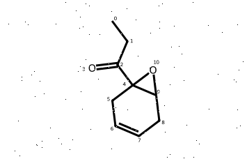 CCC(=O)C12CC=CCC1O2